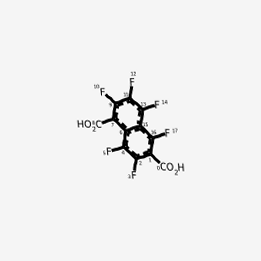 O=C(O)c1c(F)c(F)c2c(C(=O)O)c(F)c(F)c(F)c2c1F